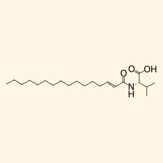 CCCCCCCCCCCCCC=CC(=O)N[C@H](C(=O)O)C(C)C